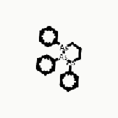 c1ccc([As]2CCC[As](c3ccccc3)[As]2c2ccccc2)cc1